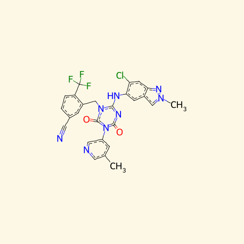 Cc1cncc(-n2c(=O)nc(Nc3cc4cn(C)nc4cc3Cl)n(Cc3cc(C#N)ccc3C(F)(F)F)c2=O)c1